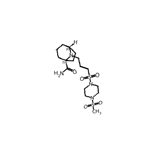 CS(=O)(=O)N1CCN(S(=O)(=O)CCCN2[C@@H]3C[CH]C[C@@]2(C(N)=O)CC3)CC1